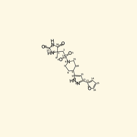 CC1(CS(=O)(=O)N2CCC(c3cc(-c4ccco4)n[nH]3)CC2)NC(=O)NC1=O